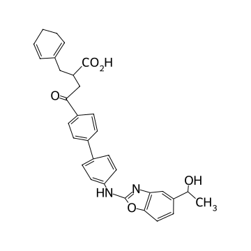 CC(O)c1ccc2oc(Nc3ccc(-c4ccc(C(=O)CC(CC5=CCCC=C5)C(=O)O)cc4)cc3)nc2c1